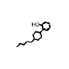 CCCCCC1CCC(c2c[c]ccc2O)CC1